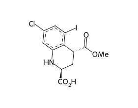 COC(=O)[C@@H]1C[C@@H](C(=O)O)Nc2cc(Cl)cc(I)c21